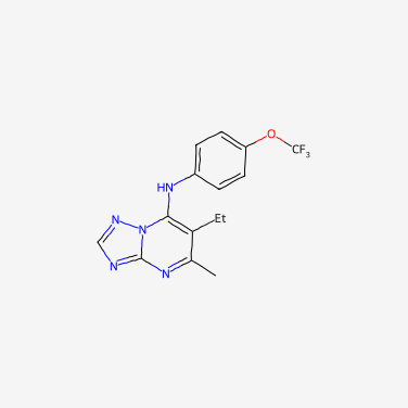 CCc1c(C)nc2ncnn2c1Nc1ccc(OC(F)(F)F)cc1